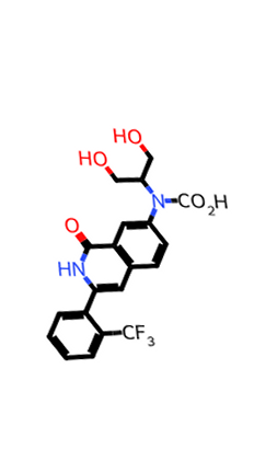 O=C(O)N(c1ccc2cc(-c3ccccc3C(F)(F)F)[nH]c(=O)c2c1)C(CO)CO